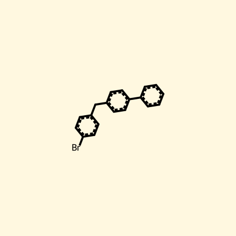 Brc1ccc(Cc2ccc(-c3ccccc3)cc2)cc1